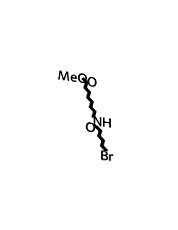 COC(=O)CCCCCCCNC(=O)CCCCCBr